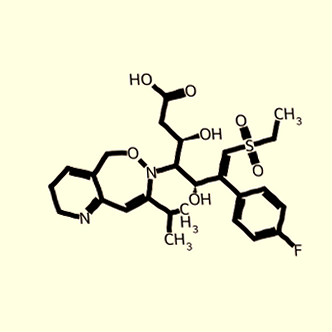 CCS(=O)(=O)/C=C(\c1ccc(F)cc1)[C@H](O)C([C@H](O)CC(=O)O)N1OCC2=CCCN=C2C=C1C(C)C